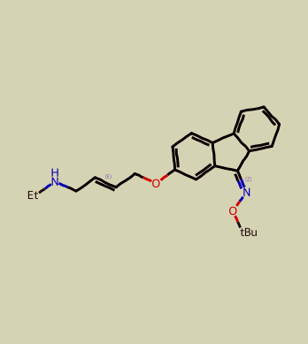 CCNC/C=C/COc1ccc2c(c1)/C(=N\OC(C)(C)C)c1ccccc1-2